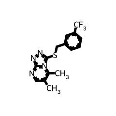 Cc1cnc2nnc(SCc3cccc(C(F)(F)F)c3)n2c1C